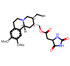 COc1cc2c(cc1OC)[C@H]1C[C@@H](COC(=O)CC3NC(=O)NC3=O)[C@H](CC(C)C)CN1CC2